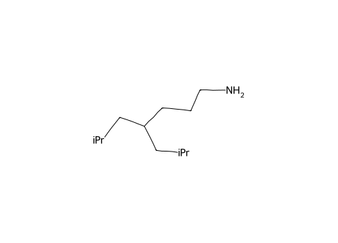 CC(C)CC(CCCN)CC(C)C